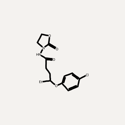 CCC(CCC(=O)NN1CCOC1=O)Oc1ccc(Cl)cc1